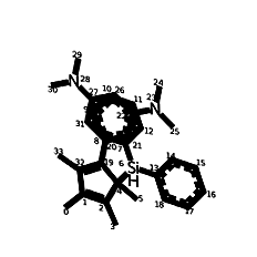 CC1=C(C)C(C)([SiH](c2ccccc2)c2ccccc2)C(c2cc(N(C)C)cc(N(C)C)c2)=C1C